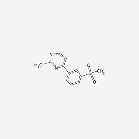 Cc1nccc(-c2cccc(S(C)(=O)=O)c2)n1